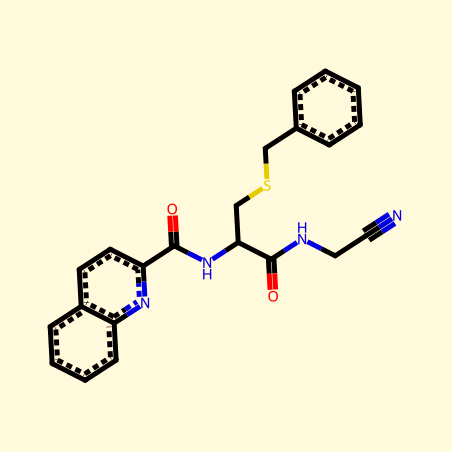 N#CCNC(=O)C(CSCc1ccccc1)NC(=O)c1ccc2ccccc2n1